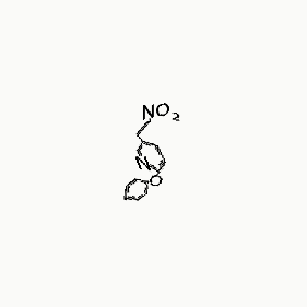 O=[N+]([O-])C=Cc1ccc(Oc2ccccc2)nc1